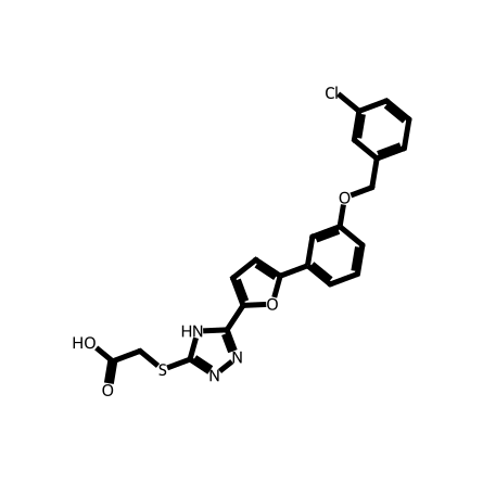 O=C(O)CSc1nnc(-c2ccc(-c3cccc(OCc4cccc(Cl)c4)c3)o2)[nH]1